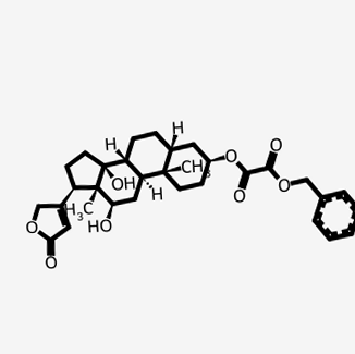 C[C@]12CC[C@H](OC(=O)C(=O)OCc3ccccc3)C[C@H]1CC[C@@H]1[C@@H]2C[C@@H](O)[C@]2(C)[C@@H](C3=CC(=O)OC3)CC[C@]12O